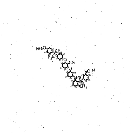 COc1ccc(C(c2ccc(Oc3cccc(Oc4cccc(Oc5cccc(C)c5S(=O)(=O)c5cccc(S(=O)(=O)O)c5)c4)c3C#N)cc2)(C(F)(F)F)C(F)(F)F)cc1